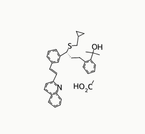 CC(=O)O.CC(C)(O)c1ccccc1CC[C@@H](SCC1CC1)c1cccc(/C=C/c2ccc3ccccc3n2)c1